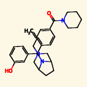 C=CCN1CC2CCC(C1)N2C(c1ccc(C(=O)N2CCCCC2)cc1)c1cccc(O)c1